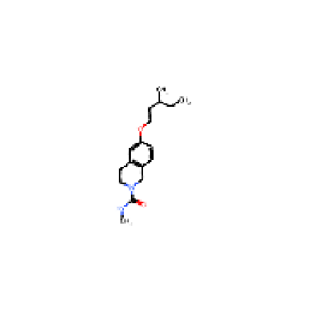 CCC(C)CCOc1ccc2c(c1)CCN(C(=O)NC)C2